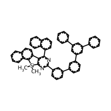 C[Si]1(C)c2nc(-c3cccc(-c4cccc(-c5cc(-c6ccccc6)cc(-c6ccccc6)c5)c4)c3)nc(-c3cccc4ccccc34)c2-c2ccc3ccccc3c21